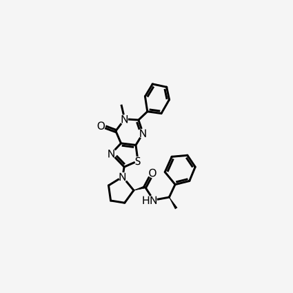 C[C@@H](NC(=O)[C@H]1CCCN1c1nc2c(=O)n(C)c(-c3ccccc3)nc2s1)c1ccccc1